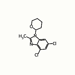 Cc1nc2c(Cl)cc(Cl)cc2n1C1CCCCO1